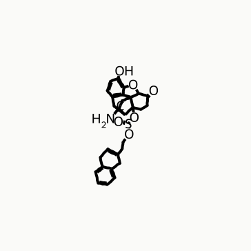 NC1CCC23c4c5ccc(O)c4OC2C(=O)CCC3(OS(=O)OCCC2=CCc3ccccc3C2)C1C5